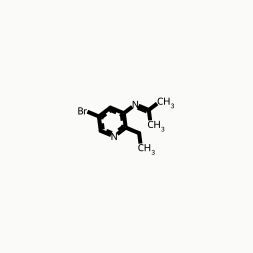 CCc1ncc(Br)cc1N=C(C)C